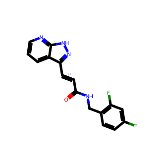 O=C(/C=C/c1n[nH]c2ncccc12)NCc1ccc(F)cc1F